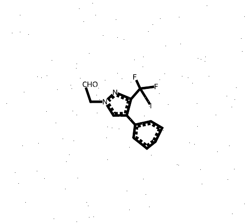 O=CCn1cc(-c2ccccc2)c(C(F)(F)I)n1